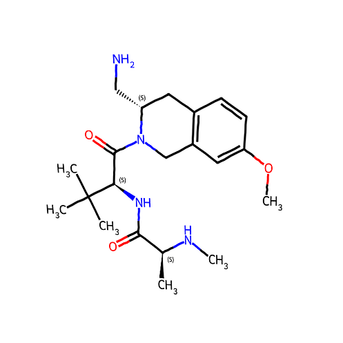 CN[C@@H](C)C(=O)N[C@H](C(=O)N1Cc2cc(OC)ccc2C[C@H]1CN)C(C)(C)C